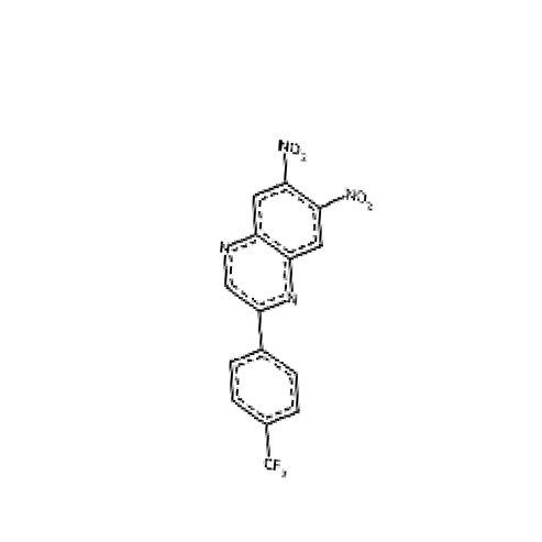 O=[N+]([O-])c1cc2ncc(-c3ccc(C(F)(F)F)cc3)nc2cc1[N+](=O)[O-]